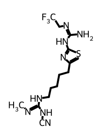 C/N=C(/NC#N)NCCCCCc1csc(N/C(N)=N\CC(F)(F)F)n1